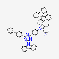 C=Cc1c(/C=C\C)n(-c2ccc(-c3nc(-c4ccc(-c5ccccc5)cc4)nc(-n4c5ccccc5c5ccccc54)n3)cc2)c2ccc3c(c12)-c1ccccc1C31c2ccccc2-c2ccccc21